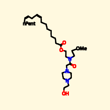 CCCCC/C=C\C/C=C\CCCCCCCC(=O)OCCN(CCOC)C(=O)CN1CCN(CCO)CC1